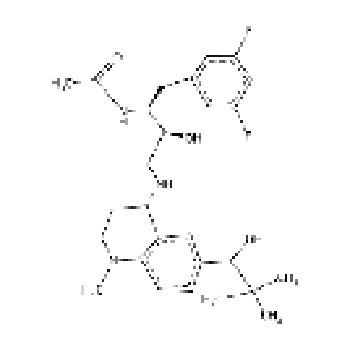 CC(=O)N[C@@H](Cc1cc(F)cc(F)c1)[C@@H](O)CN[C@H]1CCN(C)c2ccc(C(O)C(C)(C)C)cc21